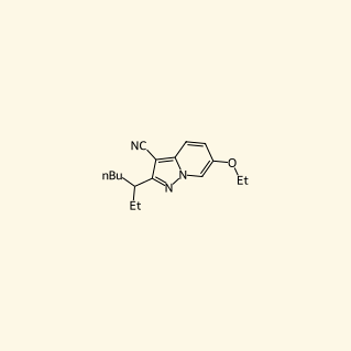 CCCCC(CC)c1nn2cc(OCC)ccc2c1C#N